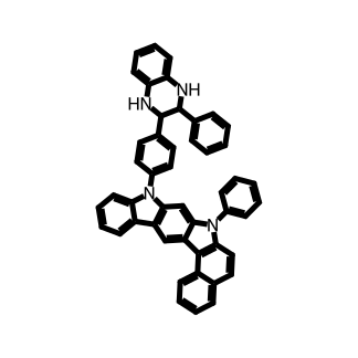 c1ccc(C2Nc3ccccc3NC2c2ccc(-n3c4ccccc4c4cc5c6c7ccccc7ccc6n(-c6ccccc6)c5cc43)cc2)cc1